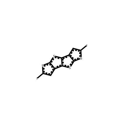 Ic1cc2c(s1)sc1c3cc(I)sc3sc21